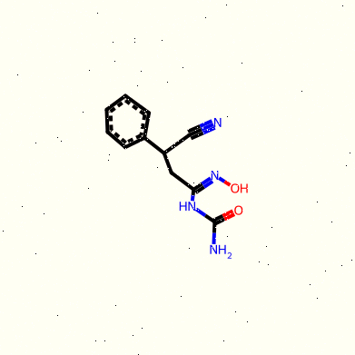 N#CC(CC(=NO)NC(N)=O)c1ccccc1